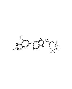 Cn1cc2cc(-c3cc4sc(OC5CC(C)(C)NC(C)(C)C5)nc4cn3)cc(F)c2n1